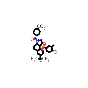 Cc1cc(S(=O)(=O)C23CCN(C(=O)[C@H]4CC[C@H](C(=O)O)CC4)C2CCc2cc(C(F)(C(F)(F)F)C(F)(F)F)ccc23)ccc1Cl